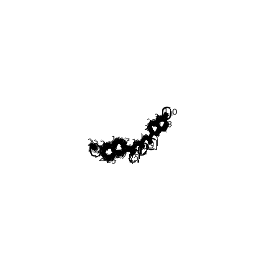 COc1ccc2cc(C(Cl)CC(=O)CC(Cl)c3ccc4cc(OC)ccc4c3)ccc2c1